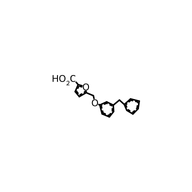 O=C(O)c1ccc(COc2cccc(Cc3ccccc3)c2)o1